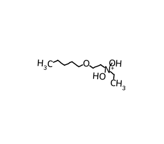 CCCCCOCC[N+](O)(O)CC